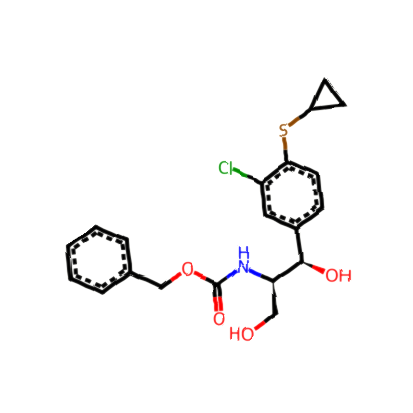 O=C(N[C@H](CO)[C@H](O)c1ccc(SC2CC2)c(Cl)c1)OCc1ccccc1